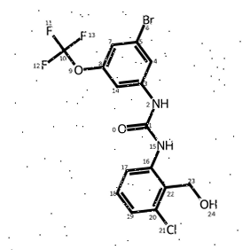 O=C(Nc1cc(Br)cc(OC(F)(F)F)c1)Nc1cccc(Cl)c1CO